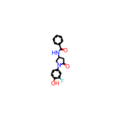 O=C(NC1CC(=O)N(c2ccc(O)c(F)c2)C1)c1ccccc1